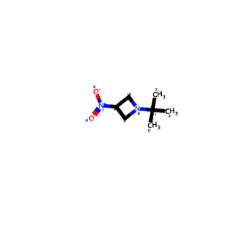 CC(C)(C)N1CC([N+](=O)[O-])C1